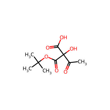 CC(=O)C(O)(C(=O)O)C(=O)OC(C)(C)C